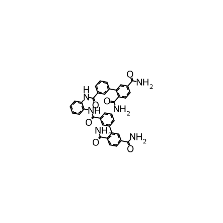 NC(=O)c1ccc(C(N)=O)c(-c2cccc(C(=O)Nc3ccccc3NC(=O)c3cccc(-c4cc(C(N)=O)ccc4C(N)=O)c3)c2)c1